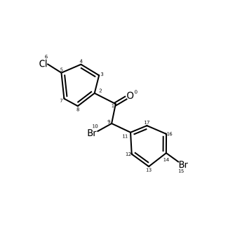 O=C(c1ccc(Cl)cc1)C(Br)c1ccc(Br)cc1